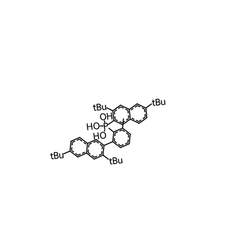 Cc1cccc(-c2cc3ccc(C(C)(C)C)cc3cc2C(C)(C)C)c1P(O)(O)(O)c1cc2ccc(C(C)(C)C)cc2cc1C(C)(C)C